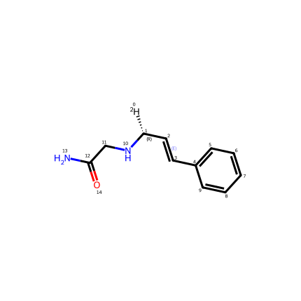 [2H][C@H](/C=C/c1ccccc1)NCC(N)=O